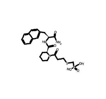 NC(=O)[C@H](Cc1ccc2ccccc2c1)NC(=O)[C@@H]1CCCCN1C(=O)CCSCP(=O)(O)O